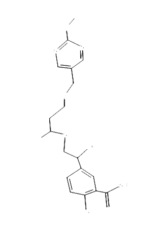 COc1ncc(COCCC(C)NCC(O)c2ccc(O)c(C(N)=O)c2)cn1